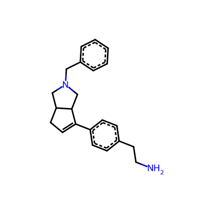 NCCc1ccc(C2=CCC3CN(Cc4ccccc4)CC23)cc1